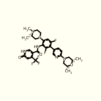 C[C@@H]1CN(c2ccc(-c3c(F)cc(N4CCN(C)[C@@H](C)C4)c(NC(=O)c4c[nH]c(=O)cc4C(F)(F)F)c3F)cn2)C[C@H](C)O1